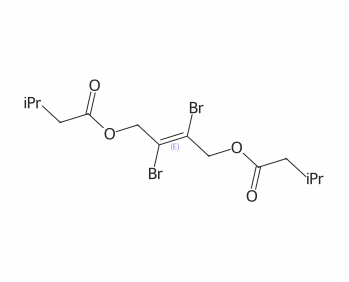 CC(C)CC(=O)OC/C(Br)=C(\Br)COC(=O)CC(C)C